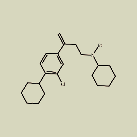 C=C(CCN(CC)C1CCCCC1)c1ccc(C2CCCCC2)c(Cl)c1